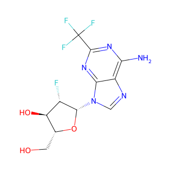 Nc1nc(C(F)(F)F)nc2c1ncn2[C@@H]1O[C@H](CO)[C@@H](O)[C@@H]1F